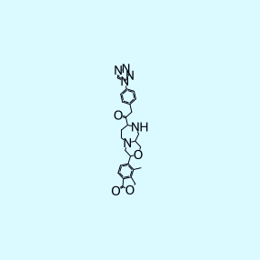 Cc1c(C2CN3CCC(C(=O)Cc4ccc(-n5cnnn5)cc4)NCC3CO2)ccc2c1COC2=O